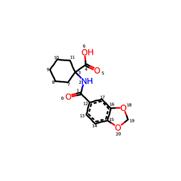 O=C(NC1(C(=O)O)CCCCC1)c1ccc2c(c1)OCO2